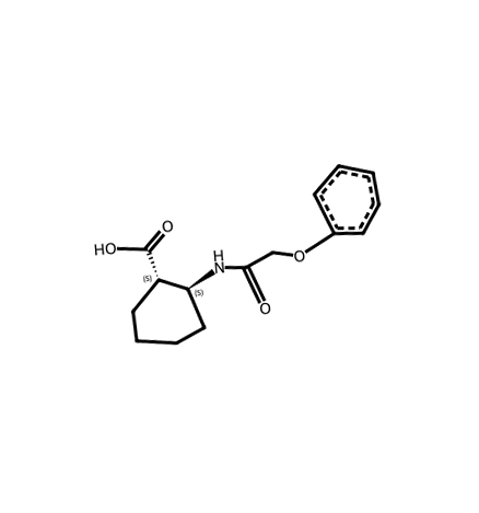 O=C(COc1ccccc1)N[C@H]1CCCC[C@@H]1C(=O)O